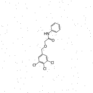 O=C(COCc1cc(Cl)c(Cl)c(Cl)c1)Nc1ccccc1